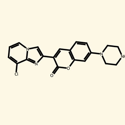 O=c1oc2cc(N3CCNCC3)ccc2cc1-c1cn2cccc(Cl)c2n1